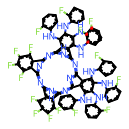 Fc1ccccc1Nc1c(Nc2ccccc2F)c(Nc2ccccc2F)c2c(c1Nc1ccccc1F)-c1nc-2nc2[nH]c(nc3nc(nc4[nH]c(n1)c1c(F)c(F)c(F)c(F)c41)-c1c(F)c(F)c(F)c(F)c1-3)c1c(Nc3ccccc3F)c(Nc3ccccc3F)c(Nc3ccccc3F)c(Nc3ccccc3F)c21